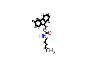 C=CCCCNC(=O)OCC1c2ccccc2-c2ccccc21